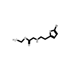 CCOC(=O)CNCCc1ccc(Br)s1